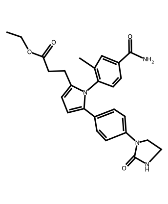 CCOC(=O)CCc1ccc(-c2ccc(N3CCNC3=O)cc2)n1-c1ccc(C(N)=O)cc1C